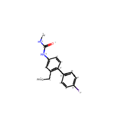 COCc1cc(NC(=O)NC(C)C)ccc1-c1ccc(I)cc1